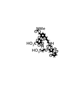 CNC(=O)OCc1ccc(CCCCNC(=O)CN2C(=O)[C@@H](N3C(=O)C=CC3=O)C[C@H]2COCCS(=O)(=O)O)cc1O[C@@H]1O[C@H](C(=O)O)[C@@H](O)[C@H](O)[C@H]1O